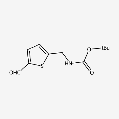 CC(C)(C)OC(=O)NCc1ccc(C=O)s1